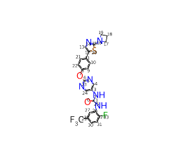 O=C(Nc1cnc(Oc2ccc(-c3cnc(N4CCC4)s3)cc2)nc1)Nc1cc(C(F)(F)F)ccc1F